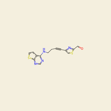 O=Cc1nc(C#CCCNc2ncnc3sccc23)cs1